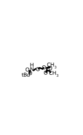 CC1=C(OCCOCCNC(=O)OC(C)(C)C)C(=O)C(C)O1